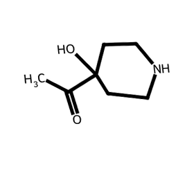 CC(=O)C1(O)CCNCC1